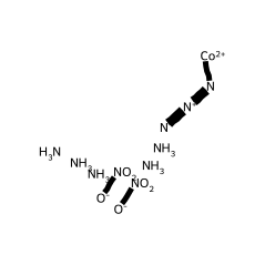 N.N.N.N.N.O=[N+]([O-])[O-].O=[N+]([O-])[O-].[N-]=[N+]=[N][Co+2]